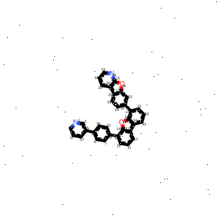 c1cncc(-c2ccc(-c3cccc4c3oc3c(-c5ccc6c(c5)oc5ncccc56)cccc34)cc2)c1